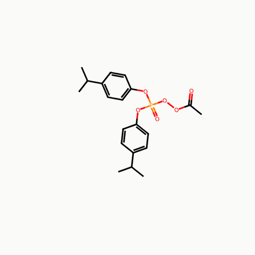 CC(=O)OOP(=O)(Oc1ccc(C(C)C)cc1)Oc1ccc(C(C)C)cc1